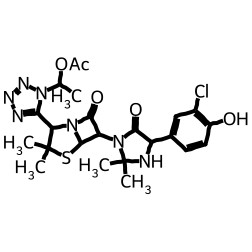 CC(=O)OC(C)n1nnnc1C1N2C(=O)C(N3C(=O)C(c4ccc(O)c(Cl)c4)NC3(C)C)C2SC1(C)C